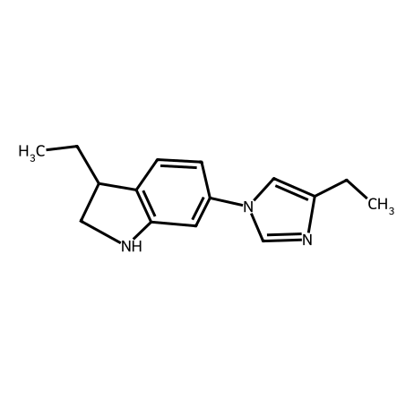 CCc1cn(-c2ccc3c(c2)NCC3CC)cn1